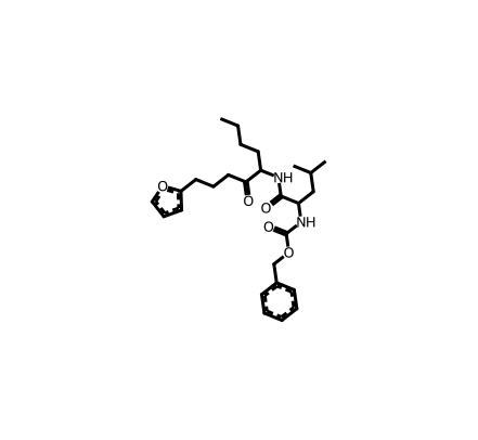 CCCCC(NC(=O)C(CC(C)C)NC(=O)OCc1ccccc1)C(=O)CCCc1ccco1